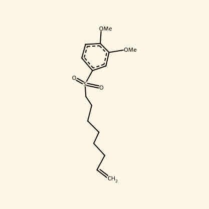 C=CCCCCCCS(=O)(=O)c1ccc(OC)c(OC)c1